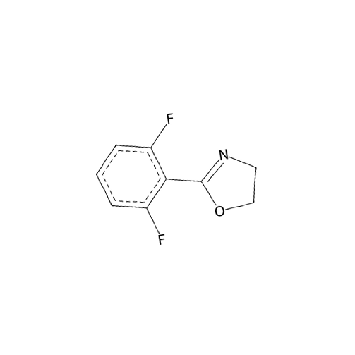 Fc1cccc(F)c1C1=NCCO1